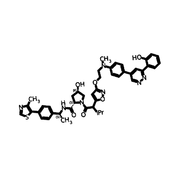 Cc1ncsc1-c1ccc([C@H](C)NC(=O)[C@@H]2C[C@@H](O)CN2C(=O)C(c2cc(OCCN(C)c3ccc(-c4cnnc(-c5ccccc5O)c4)cc3)no2)C(C)C)cc1